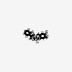 Cc1c(N(Cc2ccc(F)c(F)c2)S(C)(=O)=O)sc2ccccc12